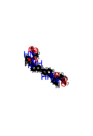 COC(=O)NC(C(=O)N1C2CC[C@@H](C2)[C@H]1c1nc2ccc3cc(-c4ccc5c(ccc6nc([C@@H]7CC8C([C@@H]8C)N7C(=O)[C@@H](NC(=O)OC)C(C)C)[nH]c65)c4)ccc3c2[nH]1)C(C)C